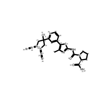 Cc1nc(NC(=O)N2CCC[C@H]2C(N)=O)sc1-c1ccnc(C(CN=[N+]=[N-])(CN=[N+]=[N-])C(F)(F)F)c1